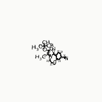 C[C@@H](C(=O)OC(C)(C)C)N1CCOc2cc(C#N)ccc2C1=O